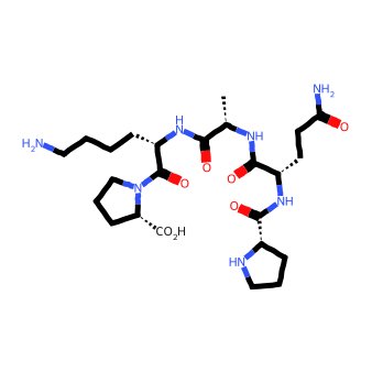 C[C@H](NC(=O)[C@H](CCC(N)=O)NC(=O)[C@@H]1CCCN1)C(=O)N[C@@H](CCCCN)C(=O)N1CCC[C@H]1C(=O)O